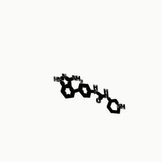 Nc1n[nH]c2cccc(-c3ccc(NC(=O)NC4CCCNC4)cc3)c12